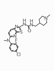 CN1CCC(CNC(=O)Nc2nc3ccc(N(C)c4ccc(Cl)cc4F)nc3s2)CC1